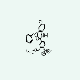 COCc1cc(C(=O)Nc2ccc(Cl)cc2OCc2ccccc2)ccc1[N+](=O)[O-]